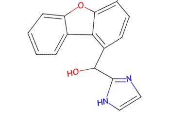 Cc1ccc(C(O)c2ncc[nH]2)c2c1oc1ccccc12